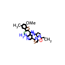 C=CC(=O)N1CC[C@H](n2nc(-c3sc4c(OC)cc(C)cc4c3F)c3c(N)ncc(-c4nccs4)c32)C1